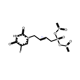 C=P(=O)OP(=O)(C/C=C/Cn1cc(F)c(=O)[nH]c1=O)OP(=C)=O